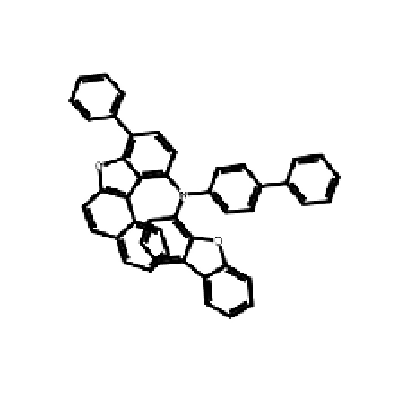 c1ccc(-c2ccc(N(c3cccc4c3oc3ccccc34)c3ccc(-c4ccccc4)c4oc5ccc6ccccc6c5c34)cc2)cc1